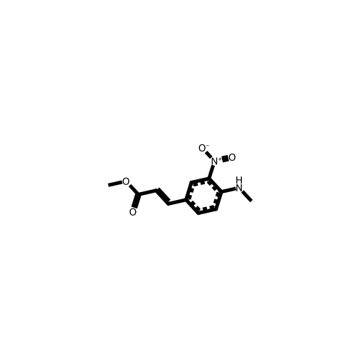 CNc1ccc(/C=C/C(=O)OC)cc1[N+](=O)[O-]